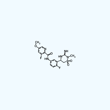 COc1cnc(C(=O)Nc2ccc(F)c(C3CS(=O)(=O)N(C)C(=N)N3)c2)c(F)c1